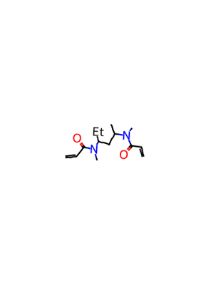 C=CC(=O)N(C)C(C)CC(CC)N(C)C(=O)C=C